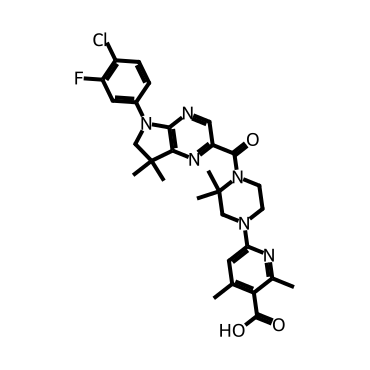 Cc1cc(N2CCN(C(=O)c3cnc4c(n3)C(C)(C)CN4c3ccc(Cl)c(F)c3)C(C)(C)C2)nc(C)c1C(=O)O